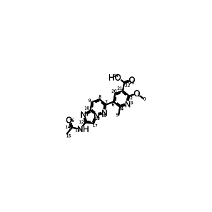 COc1nc(C)c(-c2ccc3nc(NC(C)=O)cn3n2)cc1C(=O)O